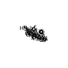 CC[C@H](C)[C@@H]([C@@H](CC(=O)N1CCC[C@H]1[C@H](OC)[C@@H](C)C(=O)N[C@@H](Cc1ccccc1)c1nccs1)OC)N(C)[C@@](C(N)=O)(C(=O)C(C)(C)CNC)C(C)C